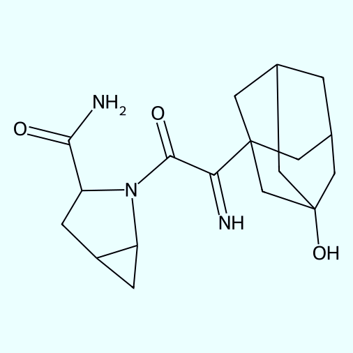 N=C(C(=O)N1C(C(N)=O)CC2CC21)C12CC3CC(CC(O)(C3)C1)C2